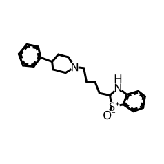 [O-][S+]1c2ccccc2NC1CCCCN1CCC(c2ccccc2)CC1